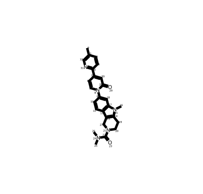 Cc1ccc(-c2ccn(-c3ccc4c5c(n(C)c4c3)CCN(C(=O)N(C)C)C5)c(=O)c2)nc1